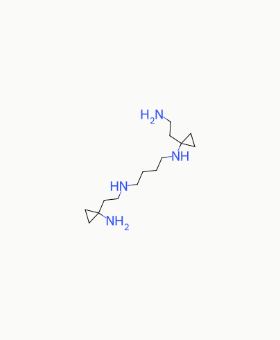 NCCC1(NCCCCNCCC2(N)CC2)CC1